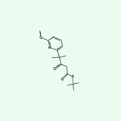 COc1cccc(C(C)(C)C(=O)CC(=O)OC(C)(C)C)n1